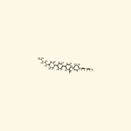 CC#CC#Cc1ccc(-c2ccc(-c3ccc(C4CCC(CCCCC)CC4)cc3)cc2F)cc1